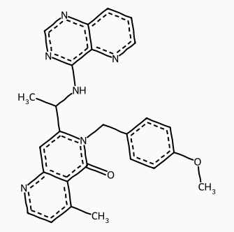 COc1ccc(Cn2c(C(C)Nc3ncnc4cccnc34)cc3nccc(C)c3c2=O)cc1